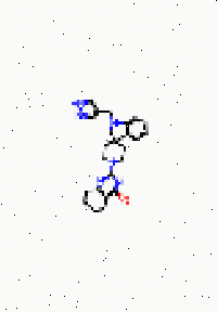 O=c1[nH]c(N2CCC3(CC2)CN(Cc2cn[nH]c2)c2ccccc23)nc2c1CCCC2